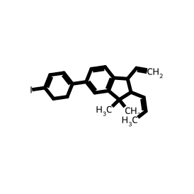 C=CC1c2ccc(C3=CC=C(I)CC3)cc2C(C)(C)C1/C=C\C